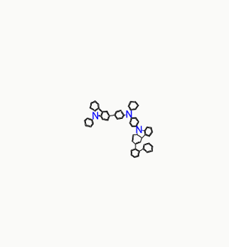 C1=CC2C(C=C1c1ccccc1-c1ccccc1)c1ccccc1N2c1ccc(N(c2ccccc2)c2ccc(-c3ccc4c(c3)c3ccccc3n4-c3ccccc3)cc2)cc1